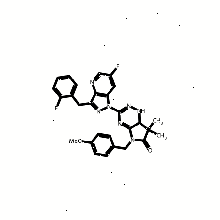 COc1ccc(CN2C(=O)C(C)(C)C3NN=C(n4nc(Cc5ccccc5F)c5ncc(F)cc54)N=C32)cc1